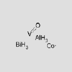 [AlH3].[BiH3].[Co].[O]=[V]